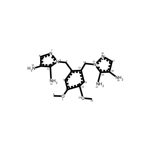 COc1cc(Cn2ncc(N)c2N)c(Cn2ncc(N)c2N)cc1OC